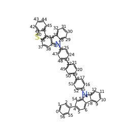 c1ccc(-c2ccc3c4ccccc4n(-c4ccc(-c5ccc(-c6ccc(-n7c8ccccc8c8c9c(ccc87)sc7ccccc79)cc6)cc5)cc4)c3c2)cc1